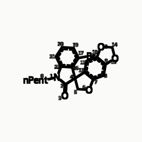 CCCCCN1C(=O)C2(COc3cc4c(cc32)OCO4)c2c(Br)cccc21